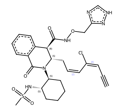 C#C/C=C(Cl)\C=C/C[C@H]1[C@H](C(=O)NOCc2nc[nH]n2)c2ccccc2C(=O)N1[C@H]1CCCC[C@@H]1NS(C)(=O)=O